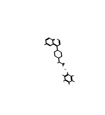 CC(C(=O)NSc1c(F)c(F)c(F)c(F)c1F)C1CCC(c2ccnc3ccc(F)cc23)CC1